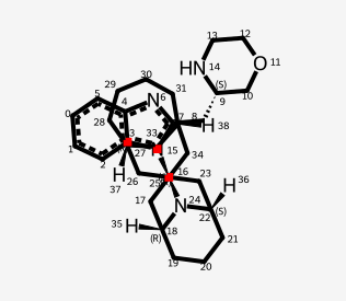 c1ccc2c(c1)nc(C[C@H]1COCCN1)n2[C@@H]1C[C@H]2CCC[C@@H](C1)N2[C@H]1C[C@@H]2CCCC[C@@H](C2)C1